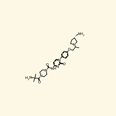 CC(COc1ccc(-n2ccc(NC(=O)N3CCN(C(=O)C(C)(C)N)CC3)nc2=O)cc1)N1CC[C@H](CN)C1